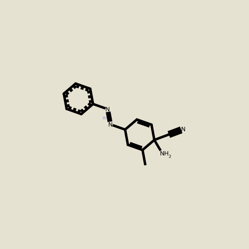 CC1=CC(/N=N/c2ccccc2)C=CC1(N)C#N